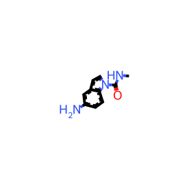 CNC(=O)n1ccc2cc(N)ccc21